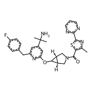 Cc1nc(-c2ncccn2)sc1C(=O)N1C[C@@H]2C(Oc3cc(C(C)(C)N)cc(Cc4ccc(F)cc4)n3)[C@@H]2C1